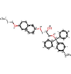 CCCCCCCCCCCCOc1ccc2cc(OCC(O)COC(c3ccccc3)(c3ccccc3)c3ccc(OC)cc3)ccc2c1